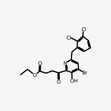 CCOC(=O)CCC(=O)c1nc(Cc2cccc(Cl)c2Cl)cc(Br)c1O